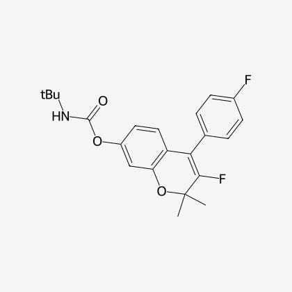 CC(C)(C)NC(=O)Oc1ccc2c(c1)OC(C)(C)C(F)=C2c1ccc(F)cc1